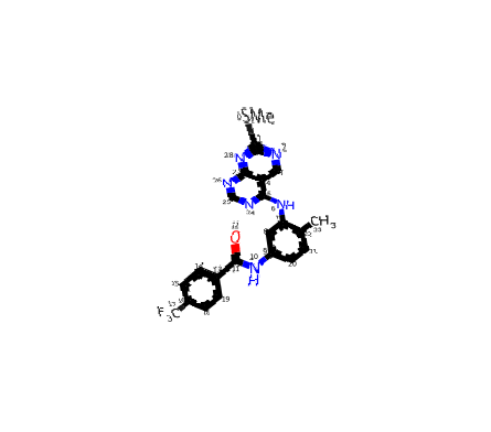 CSc1ncc2c(Nc3cc(NC(=O)c4ccc(C(F)(F)F)cc4)ccc3C)ncnc2n1